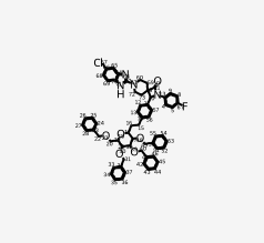 O=C1N(c2ccc(F)cc2)C(c2ccc(CCC3OC(COCc4ccccc4)C(OCc4ccccc4)C(OCc4ccccc4)C3OCc3ccccc3)cc2)C12CCN(c1nc3cc(Cl)ccc3[nH]1)CC2